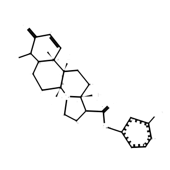 CC1C(=O)C=C[C@@]2(C)C1CC[C@@H]1[C@H]2CC[C@]2(C)C(C(=O)Nc3cccc(F)c3)CCN12